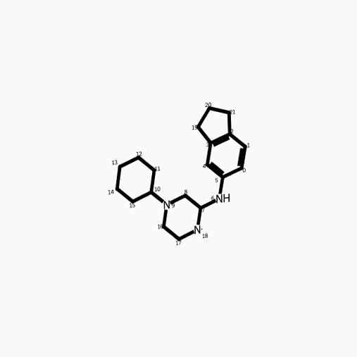 c1cc2c(cc1NC1CN(C3CCCCC3)CC[N]1)CCC2